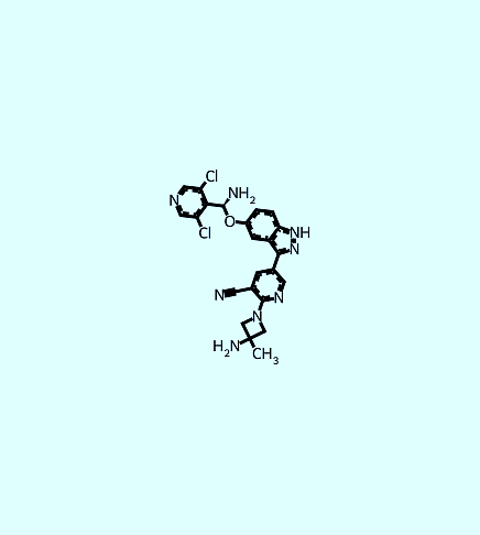 CC1(N)CN(c2ncc(-c3n[nH]c4ccc(O[C@H](N)c5c(Cl)cncc5Cl)cc34)cc2C#N)C1